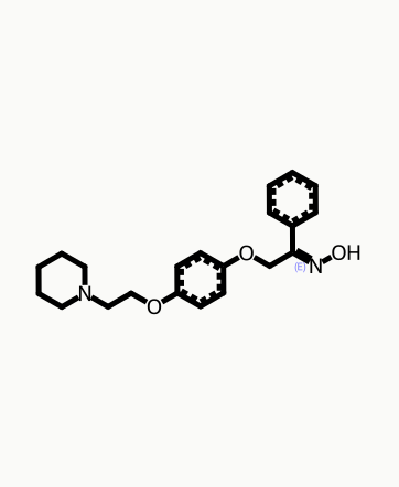 O/N=C(/COc1ccc(OCCN2CCCCC2)cc1)c1ccccc1